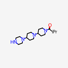 CC(C)C(=O)N1CCC(N2CCC(N3CCNCC3)CC2)CC1